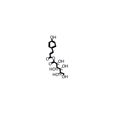 O=C(/C=C/c1ccc(O)cc1)OC(=O)[C@H](O)[C@@H](O)[C@H](O)[C@H](O)CO